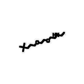 CCNCCOCCOCCCC(C)(C)C